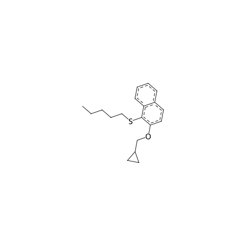 CCCCCSc1c(OCC2CC2)ccc2ccccc12